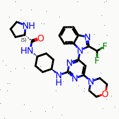 O=C(N[C@H]1CC[C@H](Nc2nc(N3CCOCC3)cc(-n3c(C(F)F)nc4ccccc43)n2)CC1)[C@@H]1CCCN1